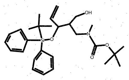 C=CC(O[Si](c1ccccc1)(c1ccccc1)C(C)(C)C)C(CO)CN(C)C(=O)OC(C)(C)C